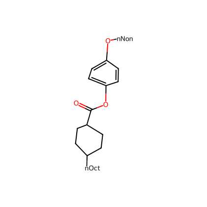 CCCCCCCCCOc1ccc(OC(=O)C2CCC(CCCCCCCC)CC2)cc1